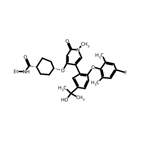 CCNC(=O)[C@H]1CC[C@@H](Oc2cc(=O)n(C)cc2-c2cc(C(C)(C)O)ccc2Oc2c(C)cc(F)cc2C)CC1